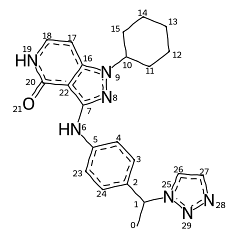 CC(c1ccc(Nc2nn(C3CCCCC3)c3cc[nH]c(=O)c23)cc1)n1ccnn1